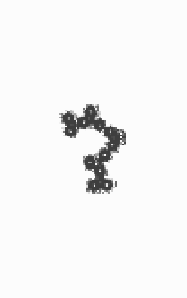 O=S1(=O)C2=CCC(c3ccc(-n4c5ccccc5c5cc(-n6c7ccccc7c7ccccc76)ccc54)cc3)C=C2c2cc(C3C=CC(n4c5ccccc5c5cc(-n6c7ccccc7c7ccccc76)ccc54)=CC3)ccc21